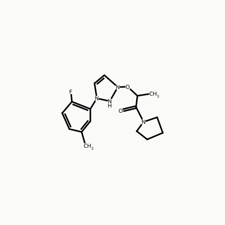 Cc1ccc(F)c(N2C=CN(OC(C)C(=O)N3CCCC3)N2)c1